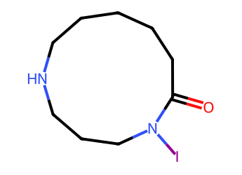 O=C1CCCCCNCCCN1I